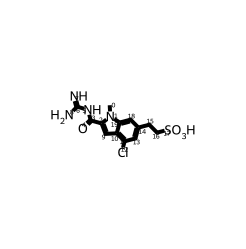 Cn1c(C(=O)NC(=N)N)cc2c(Cl)cc(CCS(=O)(=O)O)cc21